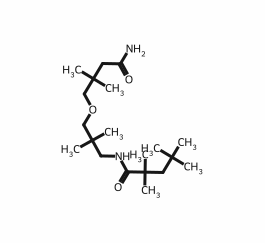 CC(C)(C)CC(C)(C)C(=O)NCC(C)(C)COCC(C)(C)CC(N)=O